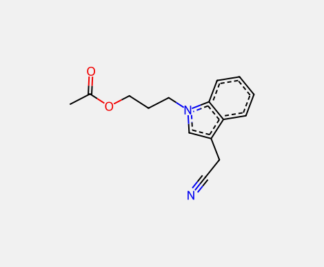 CC(=O)OCCCn1cc(CC#N)c2ccccc21